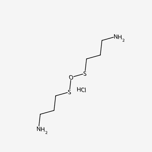 Cl.NCCCSOSCCCN